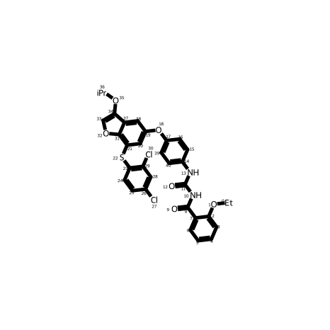 CCOc1ccccc1C(=O)NC(=O)Nc1ccc(Oc2cc(Sc3ccc(Cl)cc3Cl)c3occ(OC(C)C)c3c2)cc1